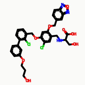 O=C(O)C(CO)NCc1cc(Cl)c(OCc2cccc(-c3cccc(OCCCO)c3)c2Cl)cc1OCc1ccc2nonc2c1